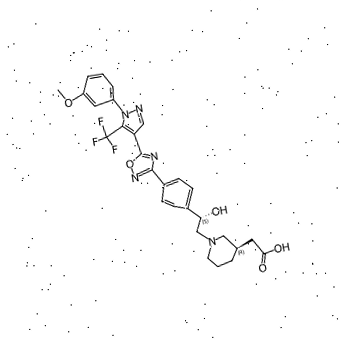 COc1cccc(-n2ncc(-c3nc(-c4ccc([C@H](O)CN5CCC[C@H](CC(=O)O)C5)cc4)no3)c2C(F)(F)F)c1